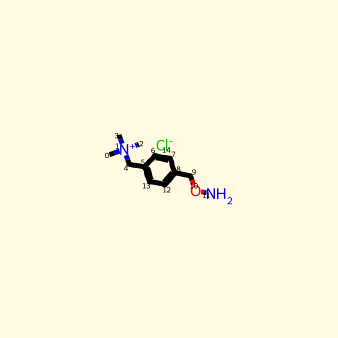 C[N+](C)(C)Cc1ccc(CON)cc1.[Cl-]